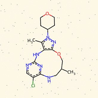 Cc1c2c(nn1C1CCOCC1)OCC(C)CNc1nc(ncc1Cl)N2